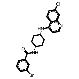 O=C(N[C@H]1CC[C@@H](Nc2ccnc3cc(Cl)ccc23)CC1)c1cccc(Br)c1